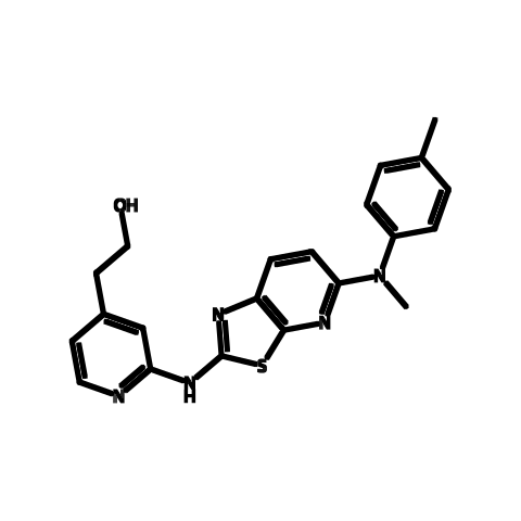 Cc1ccc(N(C)c2ccc3nc(Nc4cc(CCO)ccn4)sc3n2)cc1